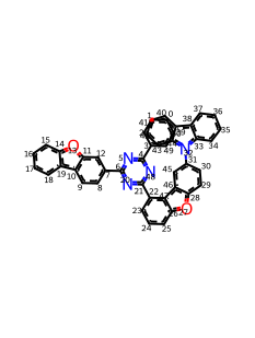 c1ccc(-c2nc(-c3ccc4c(c3)oc3ccccc34)nc(-c3cccc4oc5ccc(-n6c7ccccc7c7ccccc76)cc5c34)n2)cc1